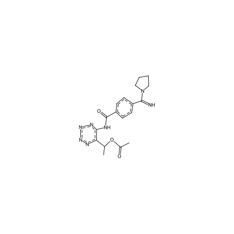 CC(=O)OC(C)c1nnnnc1NC(=O)c1ccc(C(=N)N2CCCC2)cc1